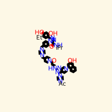 CCc1cc(-c2nnc(C(=O)NC(C)C)n2-c2ccc(CN3CCN(CC4CCN(C(=O)CCNc5nc6c(c(N7CCN(C(C)=O)CC7)n5)CCN(c5cc(O)cc7ccccc57)C6)CC4)CC3)cc2)c(O)cc1O